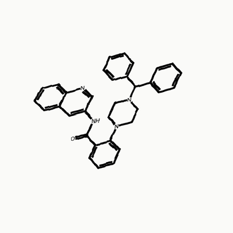 O=C(Nc1cnc2ccccc2c1)c1ccccc1N1CCN(C(c2ccccc2)c2ccccc2)CC1